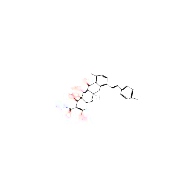 Cc1ccc(/C=C/c2ccc(C)c3c2C[C@H]2CC4CC(O)=C(C(N)=O)C(=O)C4(O)C(O)=C2C3=O)cc1